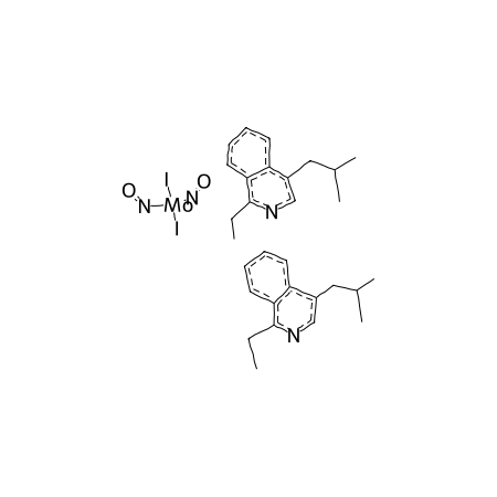 CCc1ncc(CC(C)C)c2ccccc12.CCc1ncc(CC(C)C)c2ccccc12.O=[N][Mo]([I])([I])[N]=O